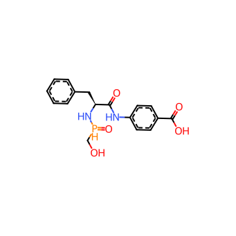 O=C(O)c1ccc(NC(=O)[C@H](Cc2ccccc2)N[PH](=O)CO)cc1